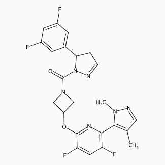 Cc1cnn(C)c1-c1nc(OC2CN(C(=O)N3N=CCC3c3cc(F)cc(F)c3)C2)c(F)cc1F